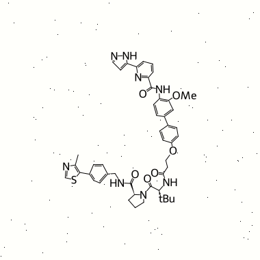 COc1cc(-c2ccc(OCCC(=O)N[C@H](C(=O)N3CCC[C@H]3C(=O)NCc3ccc(-c4scnc4C)cc3)C(C)(C)C)cc2)ccc1NC(=O)c1cccc(-c2ccn[nH]2)n1